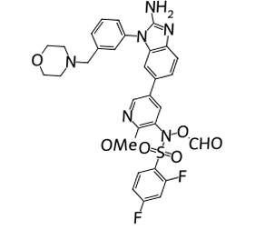 COc1ncc(-c2ccc3nc(N)n(-c4cccc(CN5CCOCC5)c4)c3c2)cc1N(OC=O)S(=O)(=O)c1ccc(F)cc1F